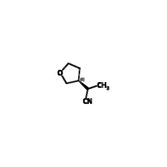 CC(C#N)[C@@H]1CCOC1